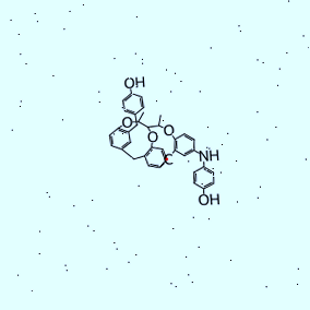 CC1Oc2ccc(cc2Cc2ccc(O)cc2)Cc2cc3ccc2OC1C(C)Oc1ccc(Nc2ccc(O)cc2)cc1C3